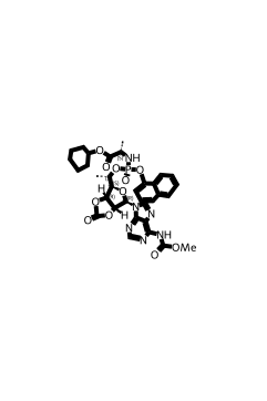 COC(=O)Nc1ncnc2c1ncn2[C@@H]1O[C@H]([C@H](C)OP(=O)(N[C@@H](C)C(=O)OC2CCCCC2)Oc2cccc3ccccc23)[C@H]2OC(=O)O[C@H]21